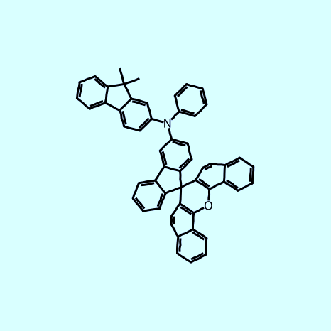 CC1(C)c2ccccc2-c2ccc(N(c3ccccc3)c3ccc4c(c3)-c3ccccc3C43c4ccc5ccccc5c4Oc4c3ccc3ccccc43)cc21